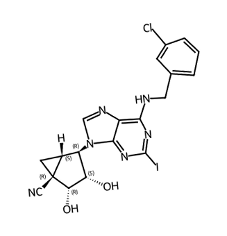 N#C[C@@]12C[C@@H]1[C@@H](n1cnc3c(NCc4cccc(Cl)c4)nc(I)nc31)[C@H](O)[C@@H]2O